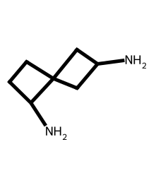 NC1CC2(CCC2N)C1